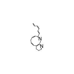 C=C/C=C\C=C\C1=NCC2=C(/C=C\C/C=C\1)CCC=N2